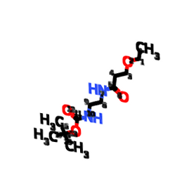 CCOCCC(=O)NCCNC(=O)OC(C)(C)C